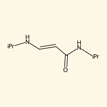 CC(C)NC=CC(=O)NC(C)C